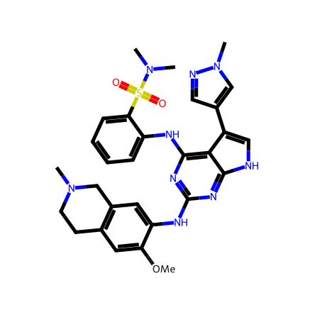 COc1cc2c(cc1Nc1nc(Nc3ccccc3S(=O)(=O)N(C)C)c3c(-c4cnn(C)c4)c[nH]c3n1)CN(C)CC2